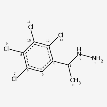 CC(NN)c1cc(Cl)c(Cl)c(Cl)c1Cl